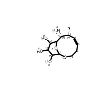 C[C@@H]1/C=C\CCSC2OC(C(O)C(O)C2O)[C@@H]1N